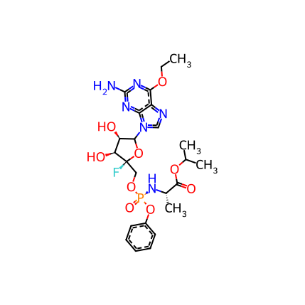 CCOc1nc(N)nc2c1ncn2C1O[C@](F)(CO[P@](=O)(N[C@@H](C)C(=O)OC(C)C)Oc2ccccc2)[C@@H](O)[C@H]1O